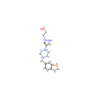 OCCn1cc(N2CCN(Cc3ccc4c(c3)OCC4)CC2)cn1